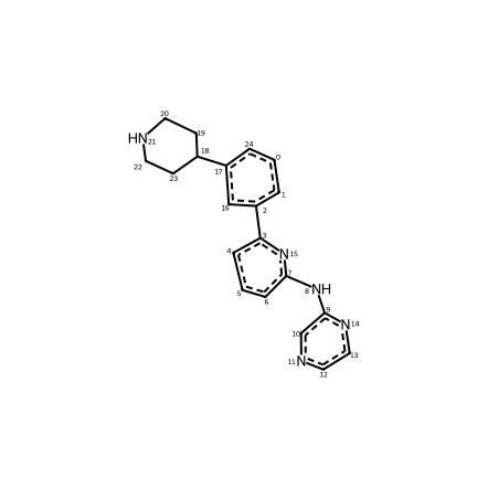 c1cc(-c2cccc(Nc3cnccn3)n2)cc(C2CCNCC2)c1